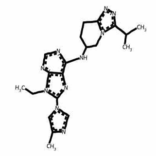 CCn1c(-n2cnc(C)c2)nc2c(NC3CCc4nnc(C(C)C)n4C3)ncnc21